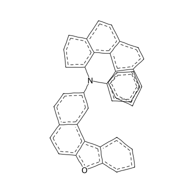 c1ccc(N(c2ccc3ccc4oc5ccccc5c4c3c2)c2cccc3ccc4ccc5ccccc5c4c23)cc1